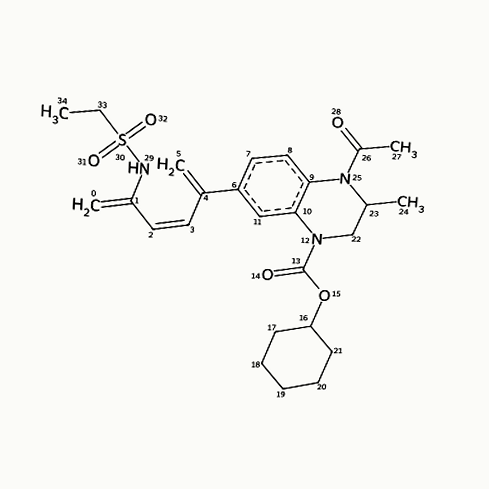 C=C(/C=C\C(=C)c1ccc2c(c1)N(C(=O)OC1CCCCC1)CC(C)N2C(C)=O)NS(=O)(=O)CC